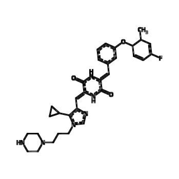 CC1C=C(F)C=CC1Oc1cccc(/C=c2\[nH]c(=O)/c(=C/c3ncn(CCCN4CCNCC4)c3C3CC3)[nH]c2=O)c1